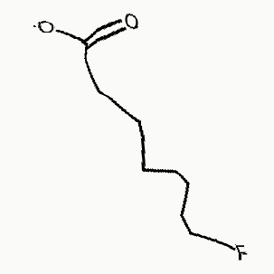 [O]C(=O)CCCCCF